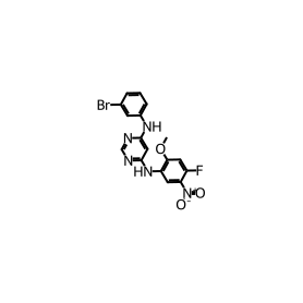 COc1cc(F)c([N+](=O)[O-])cc1Nc1cc(Nc2cccc(Br)c2)ncn1